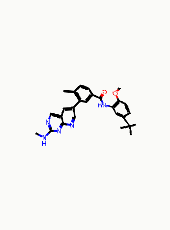 CNc1ncc2cc(-c3cc(C(=O)Nc4cc(C(C)(C)C)ccc4OC)ccc3C)cnc2n1